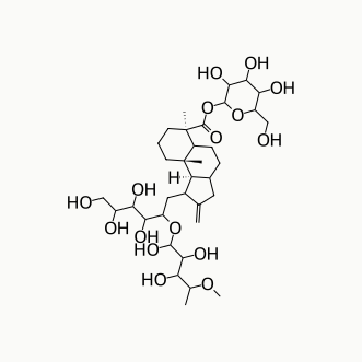 C=C1CC2CCC3[C@](C)(C(=O)OC4OC(CO)C(O)C(O)C4O)CCC[C@@]3(C)[C@@H]2C1CC(OC(O)C(O)C(O)C(C)OC)C(O)C(O)C(O)CO